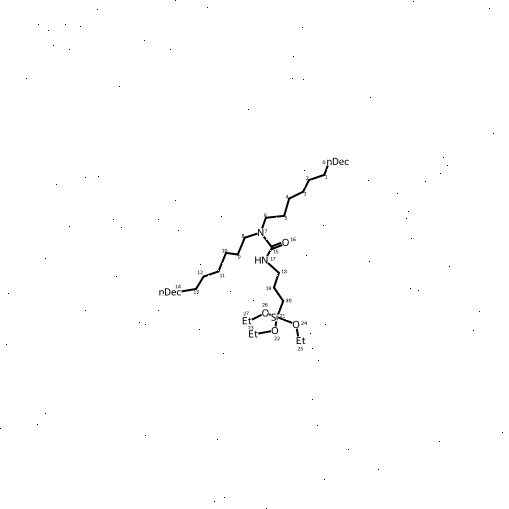 CCCCCCCCCCCCCCCCN(CCCCCCCCCCCCCCCC)C(=O)NCCC[Si](OCC)(OCC)OCC